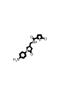 Nc1ccc(N2CC(CNC(=O)c3ccc(Cl)s3)CC2=O)cc1